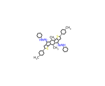 Cc1ccc(-c2cc3/c(=N\Nc4ccccc4)c4c(C)c5c(c(C)c4c3s2)/c(=N/Nc2ccccc2)c2cc(-c3ccc(C)cc3)sc25)cc1